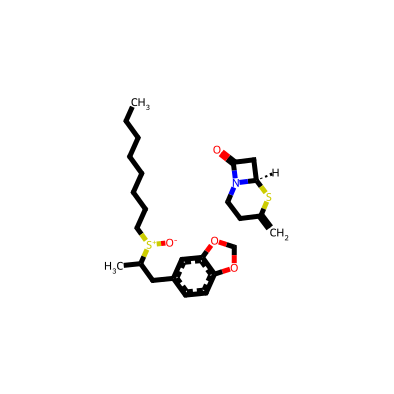 C=C1CCN2C(=O)C[C@H]2S1.CCCCCCCC[S+]([O-])C(C)Cc1ccc2c(c1)OCO2